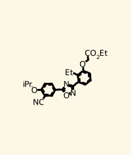 CCOC(=O)COc1cccc(-c2noc(-c3ccc(OC(C)C)c(C#N)c3)n2)c1CC